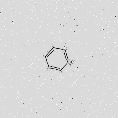 C1=C[CH]=[Ge-][CH]=C1